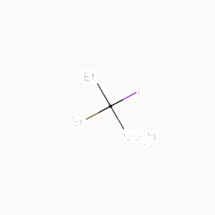 CCC(Br)(I)C(=O)O